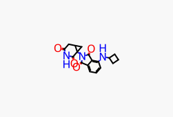 O=C1CC2CC2(N2C(=O)c3cccc(NC4CCC4)c3C2=O)C(=O)N1